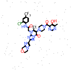 CCc1c(N2CCN(C(=O)c3ncnc(C)c3O)CC2)c(=O)n2nc(-c3cn4c(n3)COCC4)nc2n1CC(=O)Nc1ccc(C(F)(F)F)cc1Cl